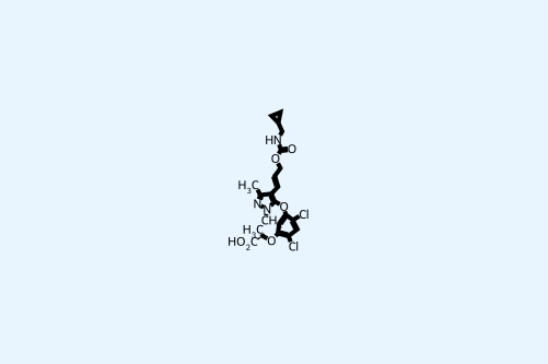 Cc1nn(C)c(Oc2cc(O[C@@H](C)C(=O)O)c(Cl)cc2Cl)c1/C=C/COC(=O)NCC1CC1